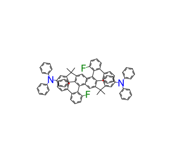 CC1(C)c2cc(N(c3ccccc3)c3ccccc3)ccc2-c2c1cc1c(-c3c(F)cccc3-c3ccccc3)c3c(cc1c2-c1c(F)cccc1-c1ccccc1)C(C)(C)c1cc(N(c2ccccc2)c2ccccc2)ccc1-3